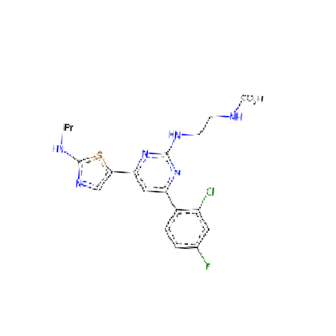 CC(C)Nc1ncc(-c2cc(-c3ccc(F)cc3Cl)nc(NCCNC(=O)O)n2)s1